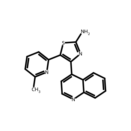 Cc1cccc(-c2sc(N)nc2-c2ccnc3ccccc23)n1